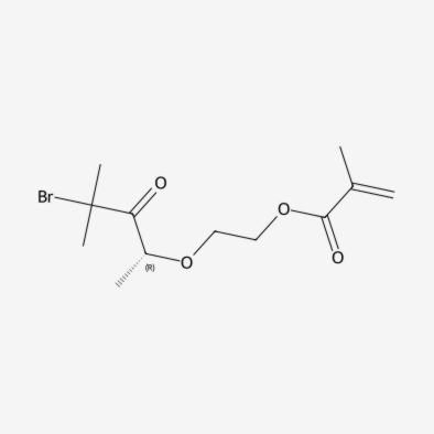 C=C(C)C(=O)OCCO[C@H](C)C(=O)C(C)(C)Br